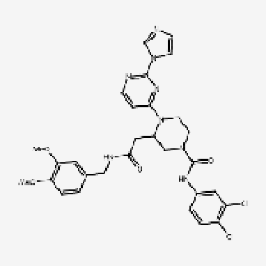 COc1ccc(CNC(=O)CC2CN(C(=O)Nc3ccc(Cl)c(Cl)c3)CCN2c2ccnc(-n3ccnc3)n2)cc1OC